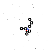 CC1(C)C2=C(C=CCC2N(c2ccc(-c3ccccc3)cc2)c2ccc(-c3cccc(-c4ccccc4)c3)cc2)c2ccccc21